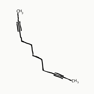 CC#CCCCCCC#CC